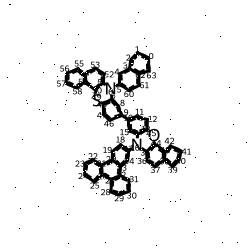 c1ccc2cc(N3c4cc(-c5ccc6c(c5)N(c5ccc7c8ccccc8c8ccccc8c7c5)c5ccc7ccccc7c5O6)ccc4Sc4c3ccc3ccccc43)ccc2c1